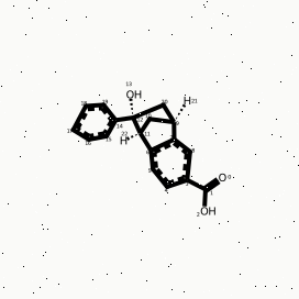 O=C(O)c1ccc2c(c1)[C@H]1C[C@@H]2[C@@](O)(c2ccccc2)C1